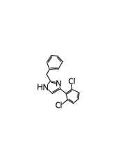 Clc1cccc(Cl)c1-c1c[nH]c(Cc2ccccc2)n1